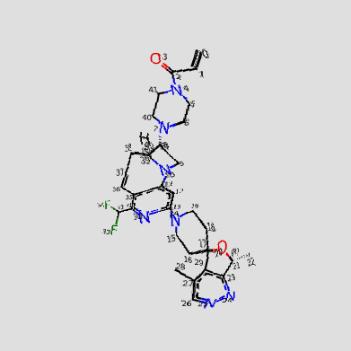 C=CC(=O)N1CCN([C@@H]2CN3c4cc(N5CCC6(CC5)O[C@H](C)c5nncc(C)c56)nc(C(F)F)c4C=CC[C@@H]23)CC1